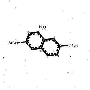 CC(=O)Nc1ccc2cc(S(=O)(=O)O)ccc2c1.O